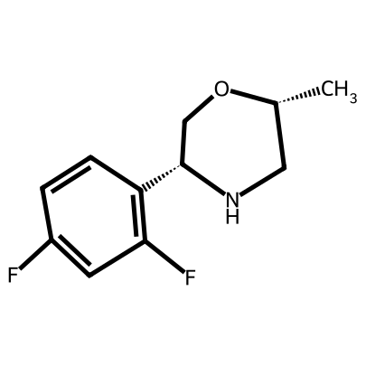 C[C@@H]1CN[C@H](c2ccc(F)cc2F)CO1